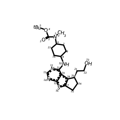 CN(C(=O)OC(C)(C)C)C1CCC(Nc2ncnc3sc4c(c23)[C@@H](CCO)CC4)CC1